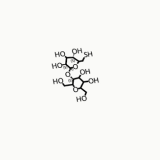 OCC1OC(CO)[C@@H](O[C@@H]2OC(CS)[C@@H](O)C(O)[C@@H]2O)C(O)C1O